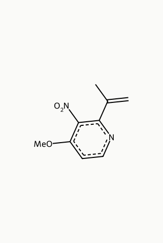 C=C(C)c1nccc(OC)c1[N+](=O)[O-]